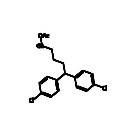 CC(=O)[O][Sn][CH2]CCC(c1ccc(Cl)cc1)c1ccc(Cl)cc1